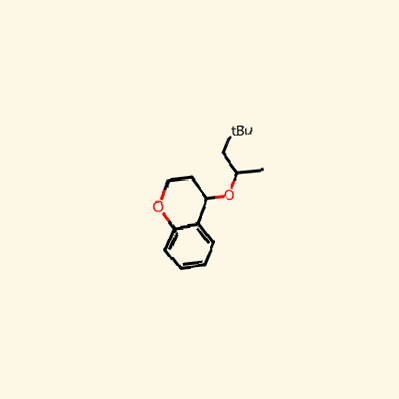 CC(CC(C)(C)C)OC1CCOc2ccccc21